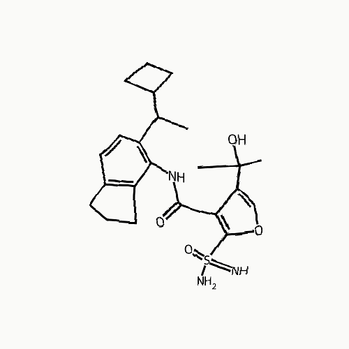 CC(c1ccc2c(c1NC(=O)c1c(C(C)(C)O)coc1S(=N)(N)=O)CCC2)C1CCC1